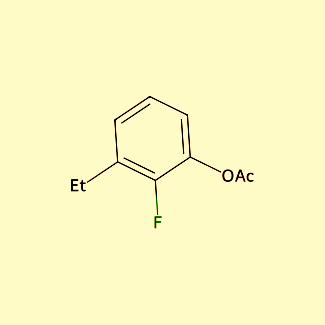 CCc1cccc(OC(C)=O)c1F